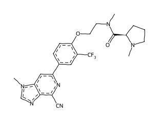 CN(CCOc1ccc(-c2cc3c(ncn3C)c(C#N)n2)cc1C(F)(F)F)C(=O)[C@H]1CCCN1C